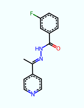 C/C(=N\NC(=O)c1cccc(F)c1)c1ccncc1